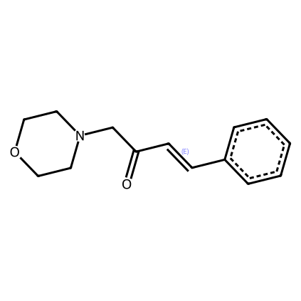 O=C(/C=C/c1ccccc1)CN1CCOCC1